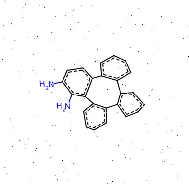 Nc1ccc2c(c1N)-c1ccccc1-c1ccccc1-c1ccccc1-2